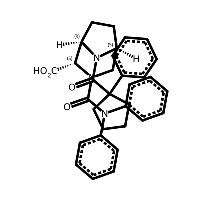 O=C(O)[C@@H]1[C@H]2CC[C@@H](CN1C(=O)N(c1ccccc1)c1ccccc1)N2C(=O)C1(c2ccccc2)CCCC1